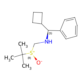 CC(C)(C)[S@+]([O-])CN[C@H](c1ccccc1)C1CCC1